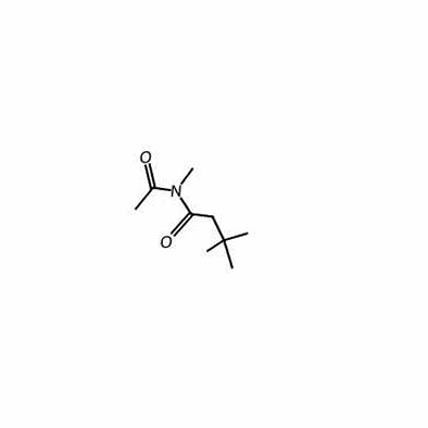 CC(=O)N(C)C(=O)CC(C)(C)C